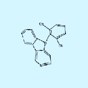 [C-]#[N+]c1cccc(C#N)c1-n1c2ccccc2c2cnccc21